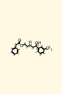 O=C(Cc1ccccc1)OCCNCC(O)c1cccc(C(F)(F)F)c1